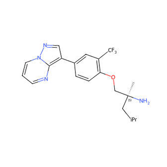 CC(C)C[C@](C)(N)COc1ccc(-c2cnn3cccnc23)cc1C(F)(F)F